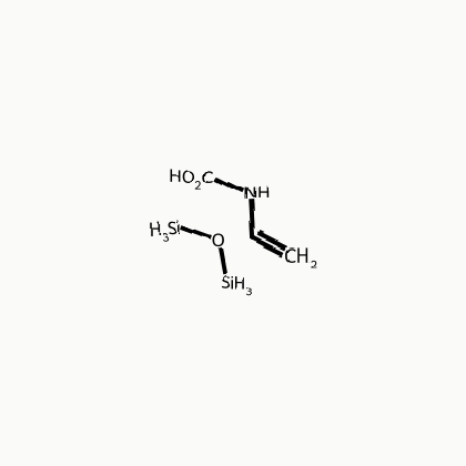 C=CNC(=O)O.[SiH3]O[SiH3]